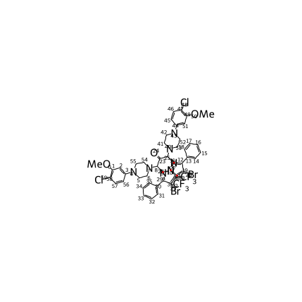 COc1cc(N2CCN(C(Cn3nc(-c4ccccc4)c(Br)c3C(F)(F)F)C(=O)C(Cn3nc(-c4ccccc4)c(Br)c3C(F)(F)F)N3CCN(c4ccc(Cl)c(OC)c4)CC3)CC2)ccc1Cl